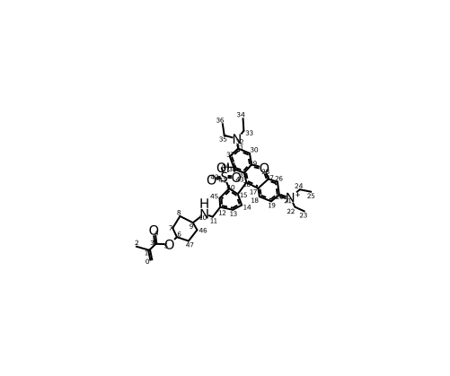 C=C(C)C(=O)OC1CCC(NCc2ccc(-c3c4ccc(=[N+](CC)CC)cc-4oc4cc(N(CC)CC)ccc34)c(S(=O)(=O)O)c2)CC1